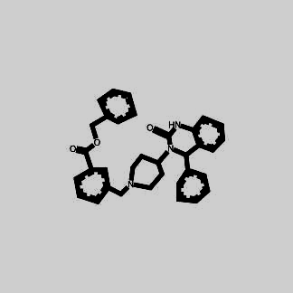 O=C(OCc1ccccc1)c1cccc(CN2CCC(N3C(=O)Nc4ccccc4C3c3ccccc3)CC2)c1